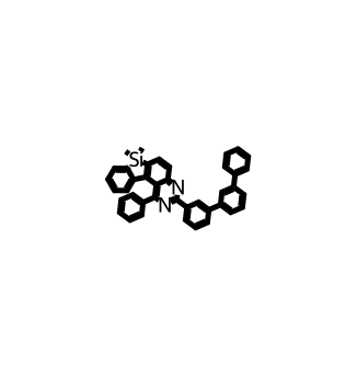 C[Si]1(C)c2ccccc2-c2c1ccc1nc(-c3cccc(-c4cccc(-c5ccccc5)c4)c3)nc(-c3ccccc3)c21